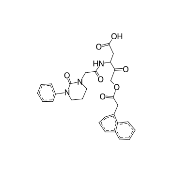 O=C(O)CC(NC(=O)CN1CCCN(c2ccccc2)C1=O)C(=O)COC(=O)Cc1cccc2ccccc12